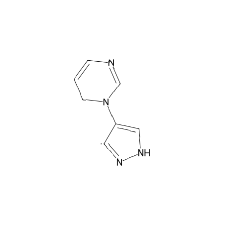 [c]1n[nH]cc1N1C=NC=CC1